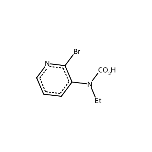 CCN(C(=O)O)c1cccnc1Br